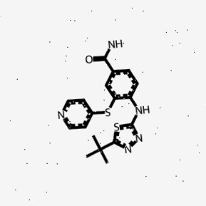 CC(C)(C)c1nnc(Nc2ccc(C([NH])=O)cc2Sc2ccncc2)s1